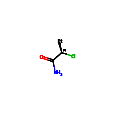 CC[C@@H](Cl)C(N)=O